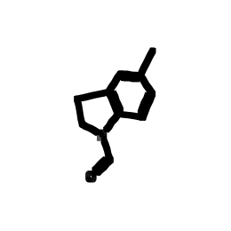 Cc1ccc2c(c1)CCN2C=O